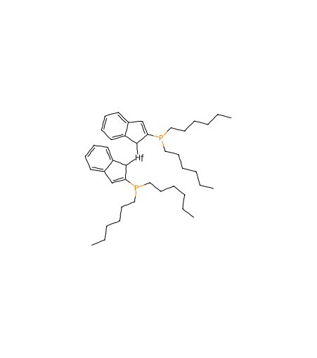 CCCCCCP(CCCCCC)C1=Cc2ccccc2[CH]1[Hf][CH]1C(P(CCCCCC)CCCCCC)=Cc2ccccc21